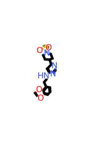 CS(=O)(=O)N1CCC(c2cc(NCCc3cccc4c3OCCO4)ncn2)CC1